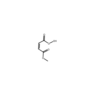 COC(=O)/C=C\C(=O)OO